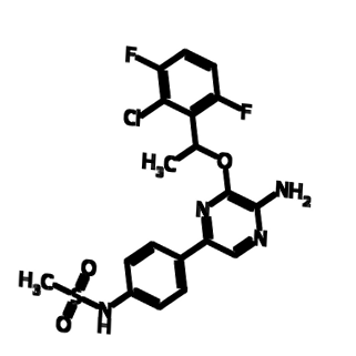 CC(Oc1nc(-c2ccc(NS(C)(=O)=O)cc2)cnc1N)c1c(F)ccc(F)c1Cl